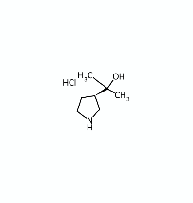 CC(C)(O)[C@@H]1CCNC1.Cl